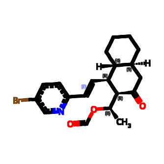 C[C@@H](OC=O)[C@@H]1C(=O)C[C@@H]2CCCC[C@H]2[C@@H]1/C=C/c1ccc(Br)cn1